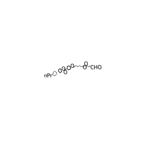 CCC[C@H]1CC[C@H](c2ccc(OC(=O)c3ccc(OCCCCCCOC(=O)CCC=O)cc3)cc2)CC1